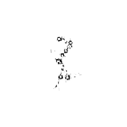 Cc1c(-c2ccc(N3CCc4cccc(C(=O)Nc5nc6ccccc6s5)c4C3)nc2C(=O)O)cnn1CC12CC3(C)CC(C)(C1)CC(OCCN(CCC(=O)O)C(=O)OCc1ccc(OCCOCCN)cc1O[C@@H]1O[C@H](C(=O)O)[C@@H](O)[C@H](O)[C@H]1O)(C3)C2